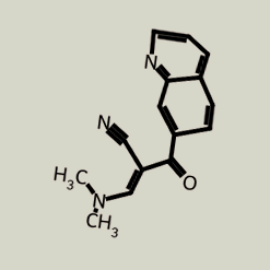 CN(C)C=C(C#N)C(=O)c1ccc2cccnc2c1